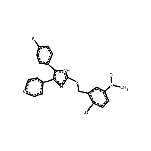 C[S+]([O-])c1ccc(O)c(CSc2nc(-c3ccncc3)c(-c3ccc(F)cc3)[nH]2)c1